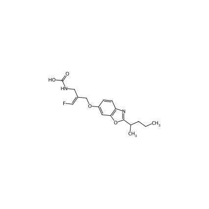 CCCC(C)c1nc2ccc(OCC(=CF)CNC(=O)O)cc2o1